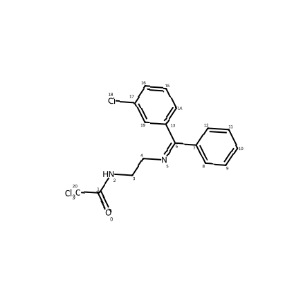 O=C(NCCN=C(c1ccccc1)c1cccc(Cl)c1)C(Cl)(Cl)Cl